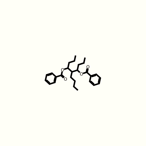 CCCCC(C(CCC)OC(=O)c1ccccc1)C(CCC)OC(=O)c1ccccc1